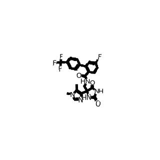 Cc1c(C2(CNC(=O)c3ccc(F)cc3-c3ccc(C(F)(F)F)cc3)NC(=O)NC2=O)ncn1C